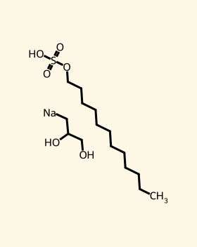 CCCCCCCCCCCCOS(=O)(=O)O.OCC(O)[CH2][Na]